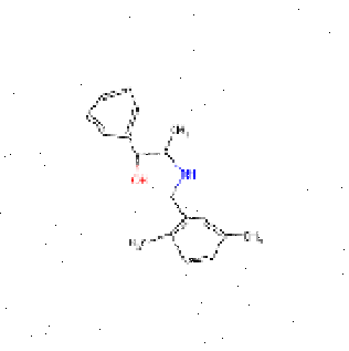 Cc1ccc(C)c(CNC(C)C(O)c2ccccc2)c1